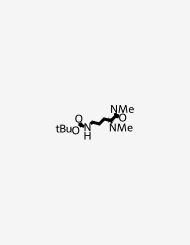 CNC(=O)[C@H](CCCNC(=O)OC(C)(C)C)NC